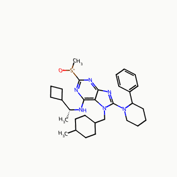 CC1CCC(Cn2c(N3CCCCC3c3ccccc3)nc3nc([S+](C)[O-])nc(N[C@H](C)C4CCC4)c32)CC1